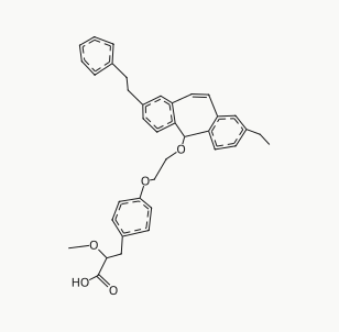 CCc1ccc2c(c1)C=Cc1cc(CCc3ccccc3)ccc1C2OCCOc1ccc(CC(OC)C(=O)O)cc1